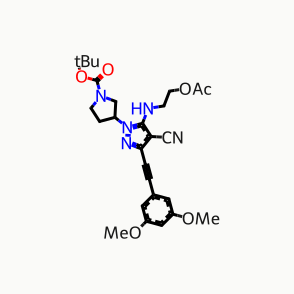 COc1cc(C#Cc2nn(C3CCN(C(=O)OC(C)(C)C)C3)c(NCCOC(C)=O)c2C#N)cc(OC)c1